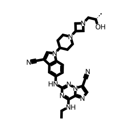 CCNc1nc(Nc2ccc3c(c2)c(C#N)cn3C2CCN(C3CN(C[C@H](C)O)C3)CC2)nn2c(C#N)cnc12